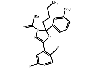 CC(C)(C)C(=O)N1N=C(c2cc(F)ccc2F)OC1(CCCN)c1cccc(C(=O)O)c1